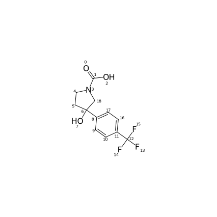 O=C(O)N1CCC(O)(c2ccc(C(F)(F)F)cc2)C1